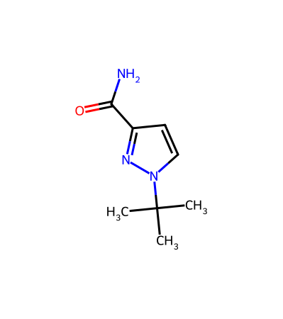 CC(C)(C)n1ccc(C(N)=O)n1